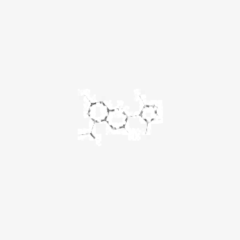 CC(=O)c1cc(C)cc2nc(-c3c(C)noc3C)c(Cl)cc12